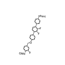 CCCCCc1ccc(-c2ccc(-c3ccc(OCc4ccc(OC)c(F)c4)cc3)c(F)c2F)cc1